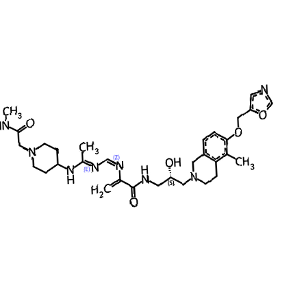 C=C(/N=C\N=C(/C)NC1CCN(CC(=O)NC)CC1)C(=O)NC[C@H](O)CN1CCc2c(ccc(OCc3cnco3)c2C)C1